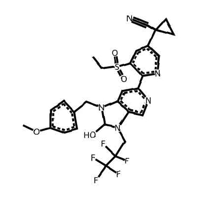 CCS(=O)(=O)c1cc(C2(C#N)CC2)cnc1-c1cc2c(cn1)N(CC(F)(F)C(F)(F)F)C(O)N2Cc1ccc(OC)cc1